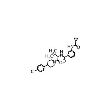 CC(C)[C@@H](NC(=O)c1cccc(NC(=O)C2CC2)c1)C(=O)N1CCC(c2ccc(Cl)cc2)CC1